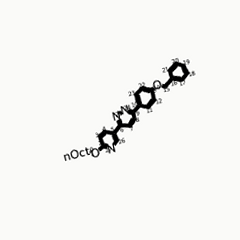 CCCCCCCCOc1ccc(-c2ccc(-c3ccc(OCc4ccccc4)cc3)nn2)cn1